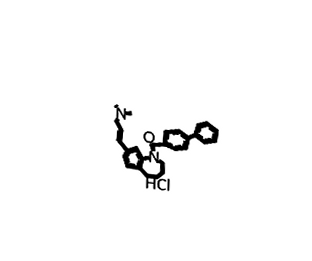 CN(C)CC=Cc1ccc2c(c1)N(C(=O)c1ccc(-c3ccccc3)cc1)CCCC2.Cl